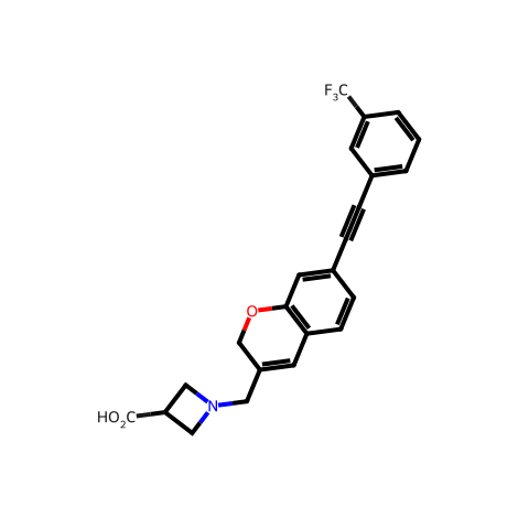 O=C(O)C1CN(CC2=Cc3ccc(C#Cc4cccc(C(F)(F)F)c4)cc3OC2)C1